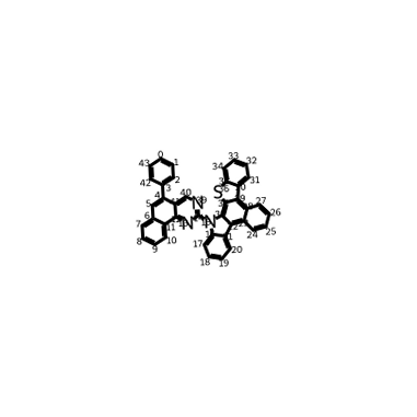 c1ccc(-c2cc3ccccc3c3nc(-n4c5ccccc5c5c6ccccc6c6c7ccccc7sc6c54)ncc23)cc1